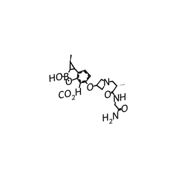 C[C@@H]1C2B(O)Oc3c(ccc(OC4CN(C[C@H](C)C(=O)NCC(N)=O)C4)c3C(=O)O)C21